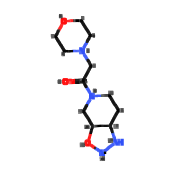 O=C(CN1CCOCC1)N1CCC2N[N]OC2C1